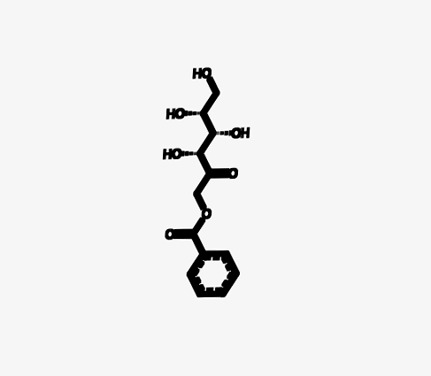 O=C(OCC(=O)[C@H](O)[C@@H](O)[C@H](O)CO)c1ccccc1